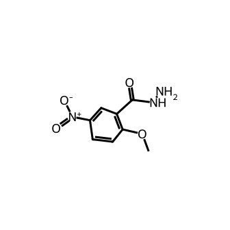 COc1ccc([N+](=O)[O-])cc1C(=O)NN